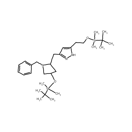 CC(C)(C)[Si](C)(C)OCCc1cc(CC2CC(O[Si](C)(C)C(C)(C)C)CN2Cc2ccccc2)n[nH]1